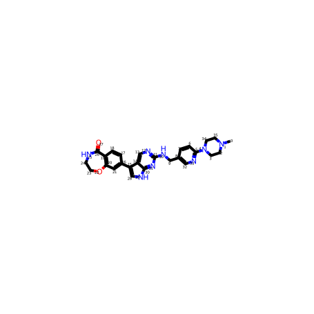 CN1CCN(c2ccc(CNc3ncc4c(-c5ccc6c(c5)OCCNC6=O)c[nH]c4n3)cn2)CC1